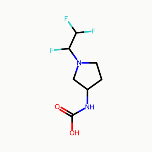 O=C(O)NC1CCN(C(F)C(F)F)C1